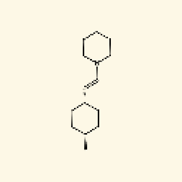 C[C@H]1CC[C@H](C=CN2CCCCC2)CC1